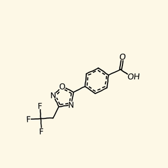 O=C(O)c1ccc(-c2nc(CC(F)(F)F)no2)cc1